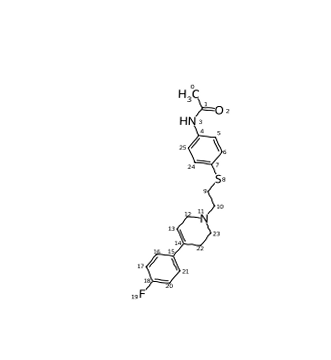 CC(=O)Nc1ccc(SCCN2CC=C(c3ccc(F)cc3)CC2)cc1